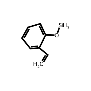 C=Cc1ccccc1O[SiH3]